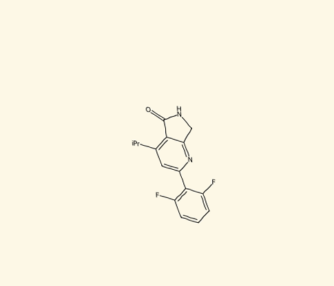 CC(C)c1cc(-c2c(F)cccc2F)nc2c1C(=O)NC2